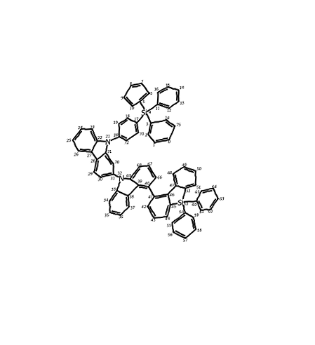 c1ccc([Si](c2ccccc2)(c2ccccc2)c2ccc(-n3c4ccccc4c4ccc(-n5c6ccccc6c6c(-c7cccc8c7-c7ccccc7[Si]8(c7ccccc7)c7ccccc7)cccc65)cc43)cc2)cc1